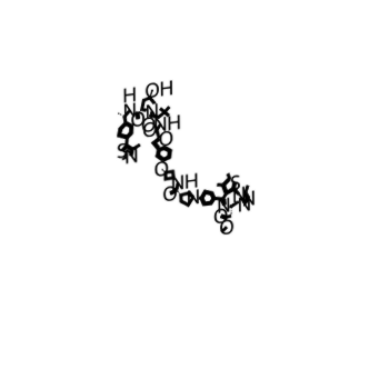 COC(=O)C[C@@H]1N=C(c2ccc(N3CC[C@H](C(=O)N[C@H]4C[C@@H](Oc5ccc6oc(C(=O)N[C@H](C(=O)N7C[C@H](O)C[C@H]7C(=O)N[C@@H](C)c7ccc(-c8scnc8C)cc7)C(C)(C)C)cc6c5)C4)C3)cc2)c2c(sc(C)c2C)-n2c(C)nnc21